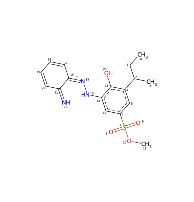 CCC(C)c1cc(S(=O)(=O)OC)cc(N/N=C2/C=CC=CC2=N)c1O